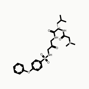 CC(C)C[C@H](NC(=O)CN(C)C)C(=O)NCC(=O)CNS(=O)(=O)c1ccc(Oc2ccccc2)cc1